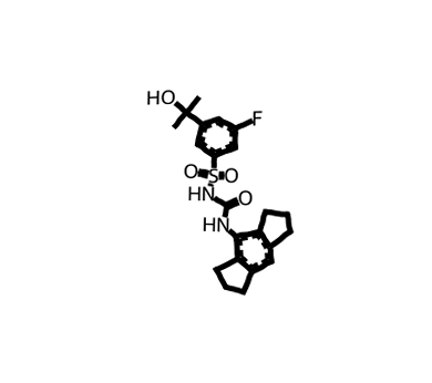 CC(C)(O)c1cc(F)cc(S(=O)(=O)NC(=O)Nc2c3c(cc4c2CCC4)CCC3)c1